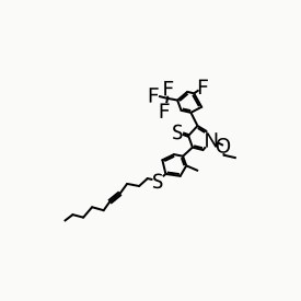 CCCCCC#CCCCSc1ccc(-c2cn(OCC)cc(-c3cc(F)cc(C(F)(F)F)c3)c2=S)c(C)c1